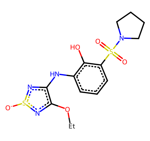 CCOc1n[s+]([O-])nc1Nc1cccc(S(=O)(=O)N2CCCC2)c1O